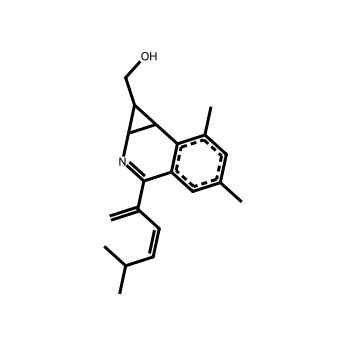 C=C(/C=C\C(C)C)C1=NC2C(CO)C2c2c(C)cc(C)cc21